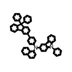 c1ccc(-n2c3ccccc3c3cc(N(c4ccc(-c5ccc6c(c5)-c5ccccc5C6(c5ccccc5)c5ccccc5)cc4)c4cccc5ccccc45)ccc32)cc1